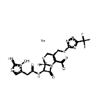 N=c1scc(CC(=O)NC2C(=O)N3C(C(=O)[O-])=C(CSc4nnc(C(F)(F)F)s4)CS[C@@H]23)n1O.[Na+]